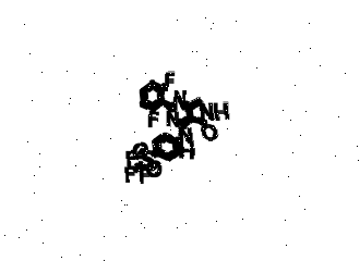 O=C1NCc2nc(-c3c(F)cccc3F)nc(Nc3ccc(S(=O)(=O)C(F)(F)F)cc3)c21